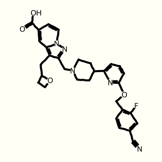 N#Cc1ccc(COc2cccc(C3CCN(Cc4nn5ccc(C(=O)O)cc5c4CC4CCO4)CC3)n2)c(F)c1